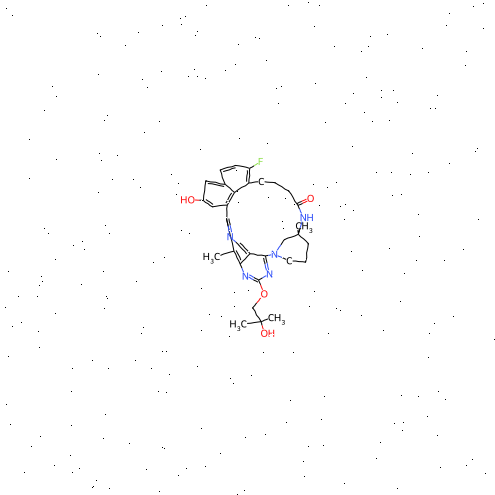 Cc1c2ncc3c(nc(OCC(C)(C)O)nc13)N1CCC[C@](C)(C1)NC(=O)CCCc1c(F)ccc3cc(O)cc-2c13